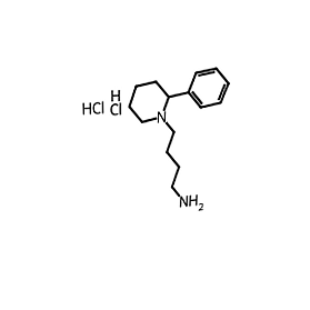 Cl.Cl.NCCCCN1CCCCC1c1ccccc1